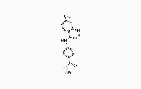 CCCNC(=O)c1ccc(Nc2ccnc3cc(C(F)(F)F)ccc23)cc1